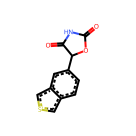 O=C1NC(=O)C(c2ccc3cscc3c2)O1